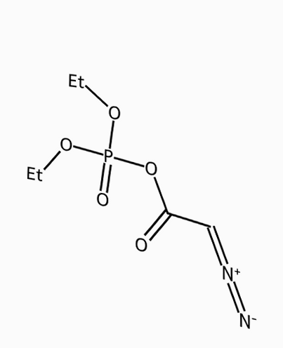 CCOP(=O)(OCC)OC(=O)C=[N+]=[N-]